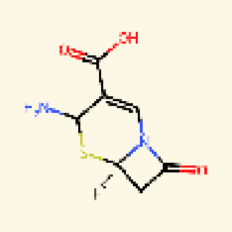 NC1S[C@@H]2CC(=O)N2C=C1C(=O)O